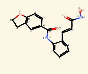 O=C(C=Cc1ccccc1NC(=O)c1ccc2c(c1)CCO2)NO